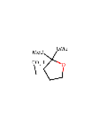 CC(=O)O.COC1(OC)CCCO1